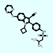 CC(C)CS(=O)(=O)Nc1ccc(-c2c(C#N)c3ccc(Oc4ncccn4)cc3n2C2CCC2)cc1